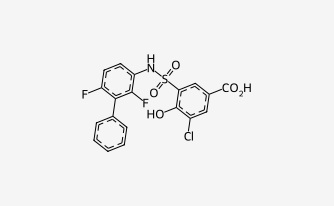 O=C(O)c1cc(Cl)c(O)c(S(=O)(=O)Nc2ccc(F)c(-c3ccccc3)c2F)c1